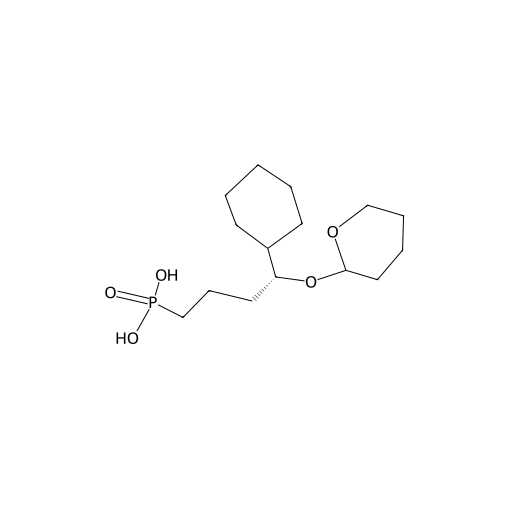 O=P(O)(O)CCC[C@@H](OC1CCCCO1)C1CCCCC1